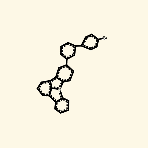 Brc1ccc(-c2cccc(-c3ccc4c(c3)c3cccc5c6ccccc6n4c53)c2)cc1